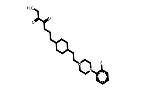 CCC(=O)C(=O)CCCC1CCC(CCN2CCN(c3ccccc3F)CC2)CC1